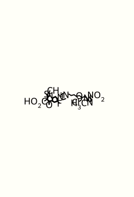 Cc1ncc([N+](=O)[O-])n1CC(CCl)OCCCCN1CCN(c2cc3c(cc2F)c(=O)c(C(=O)O)c2n3C(C)S2)CC1